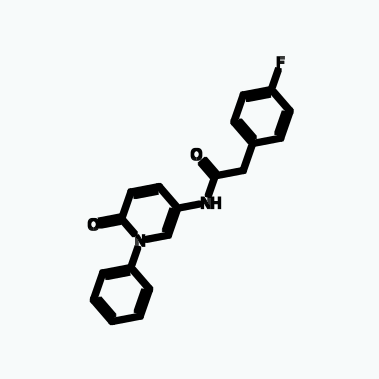 O=C(Cc1ccc(F)cc1)Nc1ccc(=O)n(-c2ccccc2)c1